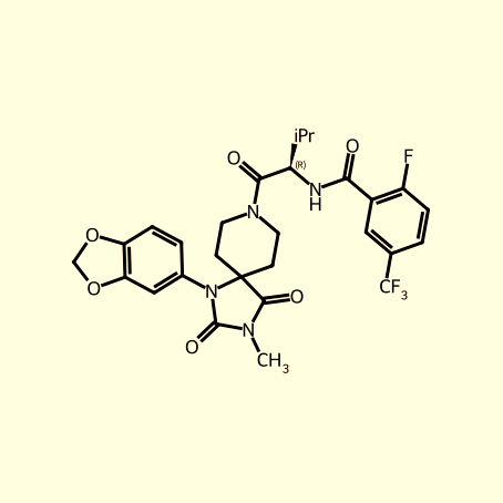 CC(C)[C@@H](NC(=O)c1cc(C(F)(F)F)ccc1F)C(=O)N1CCC2(CC1)C(=O)N(C)C(=O)N2c1ccc2c(c1)OCO2